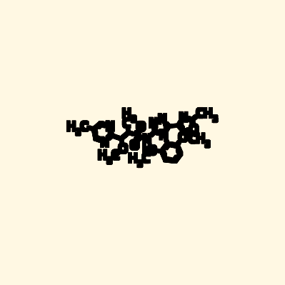 COc1cccc(OC)c1-n1c(NS(=O)(=O)C(C)C(OC)c2ncc(C)cn2)nnc1-c1coc(C)n1